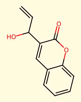 C=CC(O)c1cc2ccccc2oc1=O